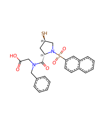 O=C(O)CN(Cc1ccccc1)C(=O)[C@@H]1C[C@@H](S)CN1S(=O)(=O)c1ccc2ccccc2c1